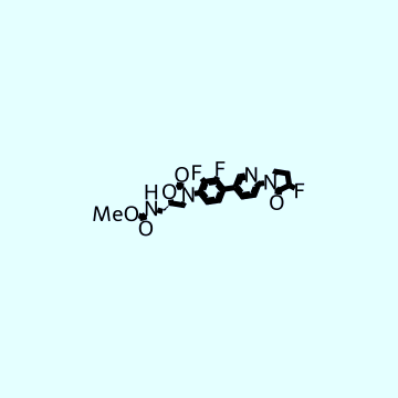 COC(=O)NC[C@H]1CN(c2ccc(-c3ccc(N4CCC(F)C4=O)nc3)c(F)c2F)C(=O)O1